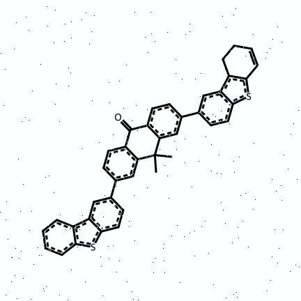 CC1(C)c2cc(-c3ccc4sc5c(c4c3)CCC=C5)ccc2C(=O)c2ccc(-c3ccc4sc5ccccc5c4c3)cc21